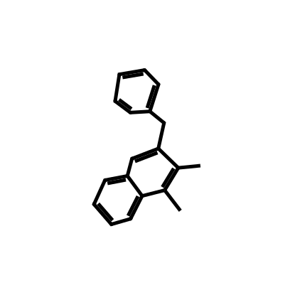 Cc1c(Cc2ccccc2)cc2ccccc2c1C